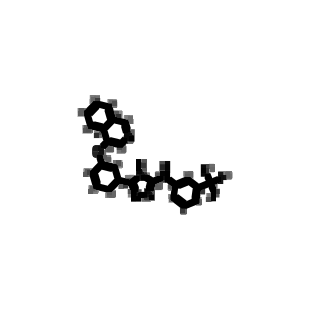 FC(F)(F)c1cccc(Nc2nnc(C3C=C(Oc4cncc5ccccc45)C=CC3)[nH]2)c1